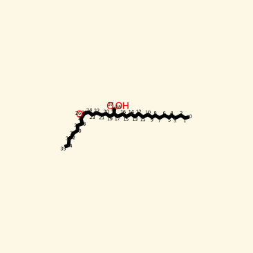 CCCCCCCCCCCCCCCCCCC(CCCCCCC1OC1CCCCCCCC)C(=O)O